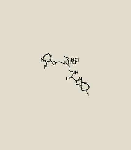 CCN(CCNC(=O)c1cn2cc(I)ccc2n1)CCOc1cccnc1F.Cl.Cl